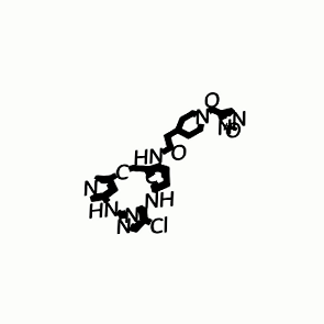 O=C(CC1CCN(C(=O)c2cnon2)CC1)Nc1ccc2cc1CCc1cncc(c1)Nc1ncc(Cl)c(n1)N2